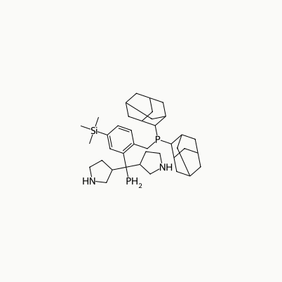 C[Si](C)(C)c1ccc(CP(C2C3CC4CC(C3)CC2C4)C2C3CC4CC(C3)CC2C4)c(C(P)(C2CCNC2)C2CCNC2)c1